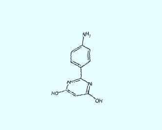 Nc1ccc(-c2nc(O)cc(O)n2)cc1